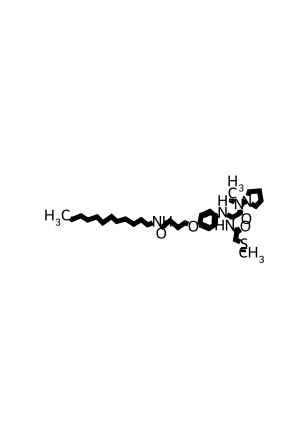 CCCCCCCCCCCCNC(=O)CCCOc1ccc(NC(NC(=O)CSC)C(=O)N(CC)N2CCCC2)cc1